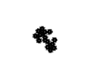 c1ccc(-c2ccc3c(c2)N(c2ccc4c(ccc5cc(N6c7cc(-c8ccccc8)ccc7[Si](c7ccccc7)(c7ccccc7)c7cc8c9ccccc9n(-c9ccccc9)c8cc76)ccc54)c2)c2ccccc2[Si]3(c2ccccc2)c2ccccc2)cc1